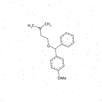 COc1ccc(C(OCCN(C)C)c2ccccc2)cc1